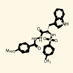 COc1ccc(C(=O)NNC(=O)[C@H](Cc2c[nH]c3ccccc23)NS(=O)(=O)c2ccc(C)cc2)cc1